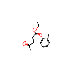 CCOC(=O)CCC(C)=O.Cc1ccccc1